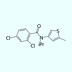 Cc1cc(N(C(=O)c2ccc(Cl)cc2Cl)C(C)C)cs1